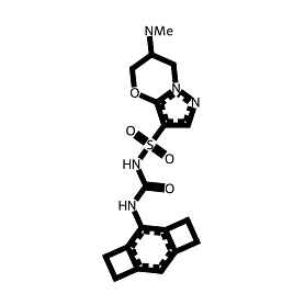 CNC1COc2c(S(=O)(=O)NC(=O)Nc3c4c(cc5c3CC5)CC4)cnn2C1